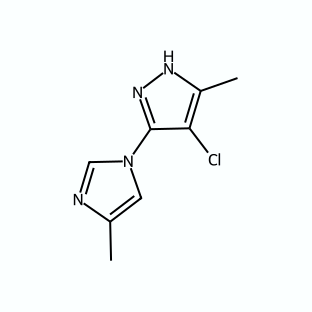 Cc1cn(-c2n[nH]c(C)c2Cl)cn1